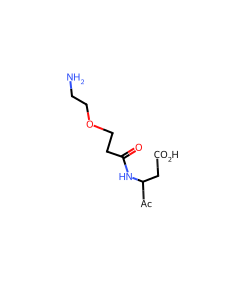 CC(=O)C(CC(=O)O)NC(=O)CCOCCN